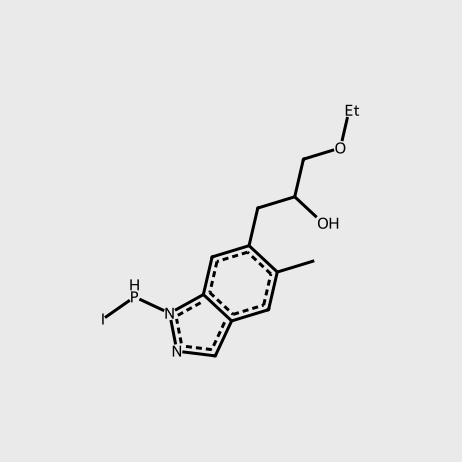 CCOCC(O)Cc1cc2c(cnn2PI)cc1C